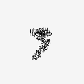 C[C@@H](C(=O)N[C@H](CN1Cc2ccccc2[C@H]1C(=O)Nc1cc(C(=O)Nc2ccc(NC(=O)OCc3ccccc3)cc2)ccc1F)C1CCOCC1)N(C)C(=O)OC(C)(C)C